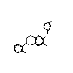 Cc1cc2c(cc1Oc1ncc(C(=O)O)s1)CCC(c1ccccc1C)O2